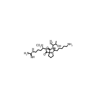 CC(O)C(N)NC(=O)C1(C(=O)N[C@@H](CCCNC(=N)N)C(=O)O)CCCN1C(=O)CCCCCN